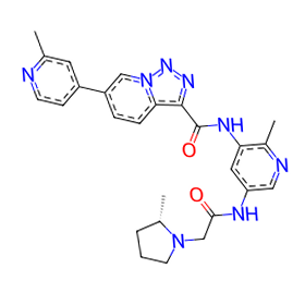 Cc1cc(-c2ccc3c(C(=O)Nc4cc(NC(=O)CN5CCC[C@@H]5C)cnc4C)nnn3c2)ccn1